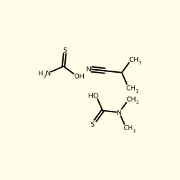 CC(C)C#N.CN(C)C(O)=S.NC(O)=S